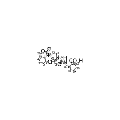 Cc1cccc2c1N(C1CCN(CC(=O)NCc3ccccc3C(=O)O)CC1)C(=O)OC2